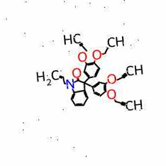 C#CCOc1ccc(C2(c3ccc(OCC#C)c(OCC#C)c3)C(=O)N(CC=C)c3ccccc32)cc1OCC#C